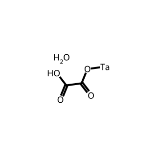 O.O=C(O)C(=O)[O][Ta]